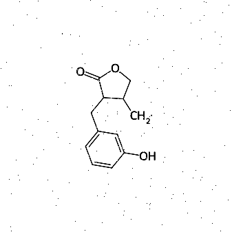 [CH2]C1COC(=O)C1Cc1cccc(O)c1